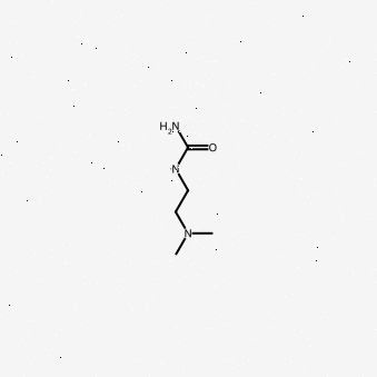 CN(C)CC[N]C(N)=O